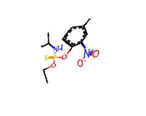 CCO[P@](=S)(NC(C)C)Oc1ccc(C)cc1[N+](=O)[O-]